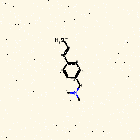 CN(C)Cc1ccc(C=C[SiH3])cc1